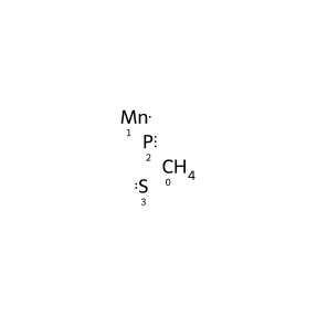 C.[Mn].[P].[S]